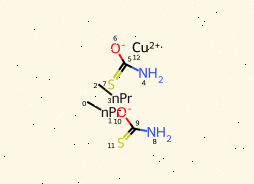 CCCC.CCCC.NC([O-])=S.NC([O-])=S.[Cu+2]